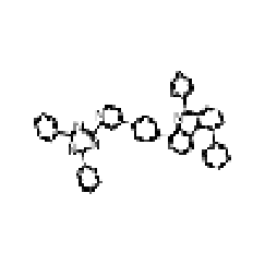 c1ccc(-c2nc(-c3ccccc3)nc(-c3cc(-c4ccc(-c5cccc6c5nc(-c5ccccc5)c5cccc(-c7ccccc7)c56)cc4)ccn3)n2)cc1